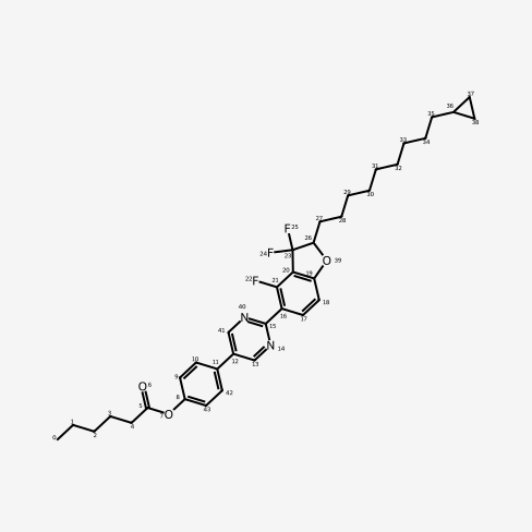 CCCCCC(=O)Oc1ccc(-c2cnc(-c3ccc4c(c3F)C(F)(F)C(CCCCCCCCCC3CC3)O4)nc2)cc1